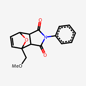 COCC12C=CC(O1)C1C(=O)N(c3ccccc3)C(=O)C12